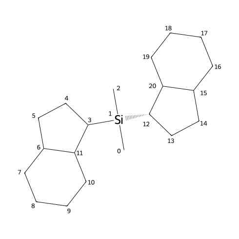 C[Si](C)(C1CCC2CCCCC21)[C@H]1CCC2CCCCC21